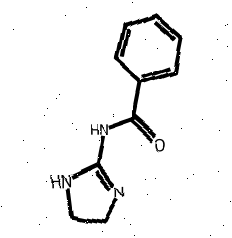 O=C(NC1=NCCN1)c1ccccc1